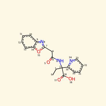 CCC(NC(=O)Cc1nc2ccccc2o1)(C(=O)O)c1ccccn1